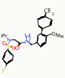 COc1ccc(CNC(=O)CN(C(C)C)S(=O)(=O)c2ccc(F)cc2)cc1-c1ccc(C(F)(F)F)cc1